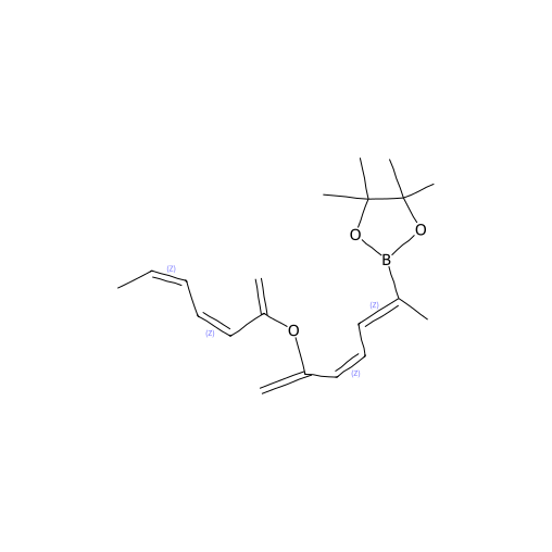 C=C(/C=C\C=C/C)OC(=C)/C=C\C=C(/C)B1OC(C)(C)C(C)(C)O1